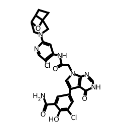 NC(=O)c1cc(-c2cn(CC(=O)Nc3cc(N4CC5OC6(CCC56)C4)ncc3Cl)c3nc[nH]c(=O)c23)cc(Cl)c1O